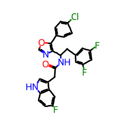 O=C(Cc1c[nH]c2ccc(F)cc12)NC(Cc1cc(F)cc(F)c1)c1ncoc1-c1ccc(Cl)cc1